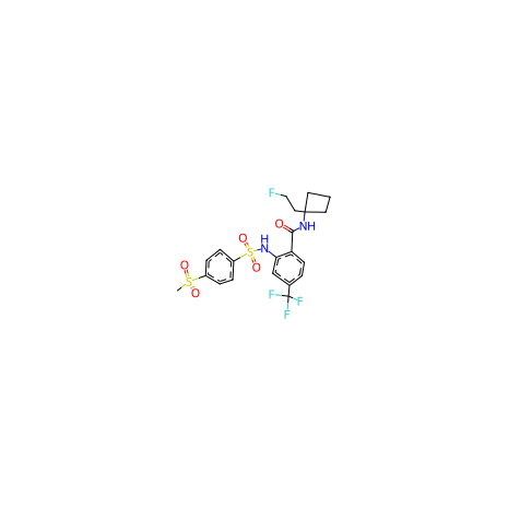 CS(=O)(=O)c1ccc(S(=O)(=O)Nc2cc(C(F)(F)F)ccc2C(=O)NC2(CCF)CCC2)cc1